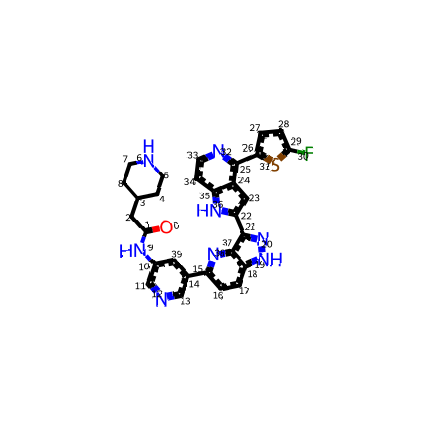 O=C(CC1CCNCC1)Nc1cncc(-c2ccc3[nH]nc(-c4cc5c(-c6ccc(F)s6)nccc5[nH]4)c3n2)c1